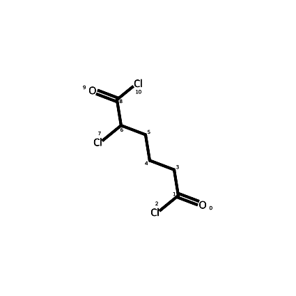 O=C(Cl)CCCC(Cl)C(=O)Cl